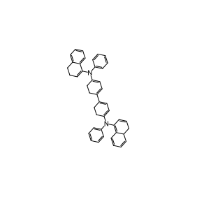 C1=CC2=C(N(C3=CC=C(C4=CC=C(N(C5=CCCc6ccccc65)c5ccccc5)CC4)CC3)c3ccccc3)C=CCC2C=C1